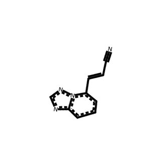 N#C/C=C/c1cccc2ncnn12